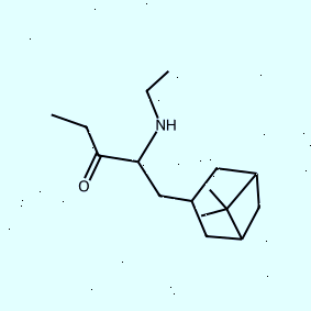 CCNC(CC1CC2CC(C1)C2(C)C)C(=O)CC